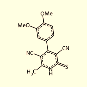 COc1ccc(-c2c(C#N)c(C)[nH]c(=S)c2C#N)cc1OC